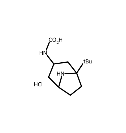 CC(C)(C)C12CCC(CC(NC(=O)O)C1)N2.Cl